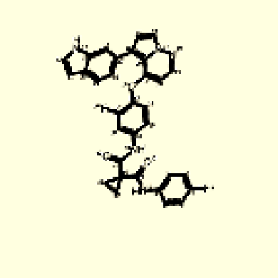 O=C(Nc1ccc(F)cc1)C1(C(=O)Nc2ccc(Oc3ccnn4ccc(-c5ccc6cc[nH]c6c5)c34)c(F)c2)CC1